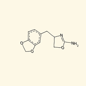 NC1=NC(Cc2ccc3c(c2)OCO3)CO1